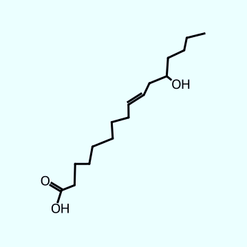 CCCCC(O)C/C=C/CCCCCCCC(=O)O